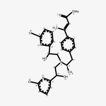 COC(=O)/C=C(\C)c1ccc(C[C@@H](C)N(CC(O)c2cccc(Cl)n2)CC(O)c2cccc(Cl)n2)cc1